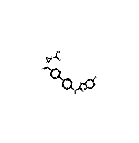 O=C(O)[C@@H]1C[C@H]1C(=O)c1ccc(-c2ccc(Nc3nc4ccc(Cl)cc4s3)cc2)cc1